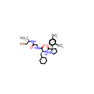 O=C(CNC(=O)[C@H](CC1CCCCC1)NC(=O)[C@]1(c2ccc([N+](=O)[O-])cc2[N+](=O)[O-])CCCN1)N[C@@H](CS)C(=O)O